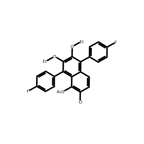 CCOc1c(OCC)c(-c2ccc(F)cc2)c2c(OC(C)=O)c(Cl)ccc2c1-c1ccc(F)cc1